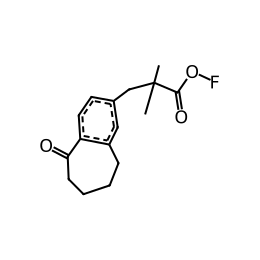 CC(C)(Cc1ccc2c(c1)CCCCC2=O)C(=O)OF